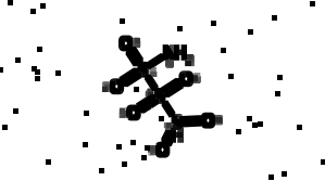 NS(=O)(=O)S(=O)(=O)[SH](=O)=O